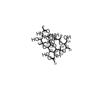 CC(=O)NNC(O)C(C)(C)OC1C(CO)OC(C(C)(C)OC(C)C(CO)OC(C)C(O)NC=O)C(NC(C)=O)C1O